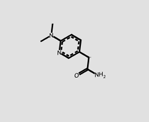 CN(C)c1ccc([CH]C(N)=O)cn1